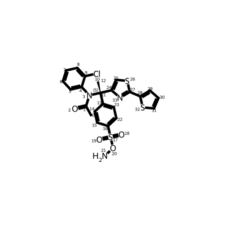 CC(=O)N(c1ccccc1Cl)[C@@](C)(c1ccc(S(=O)(=O)ON)cc1)c1csc(-c2cccs2)n1